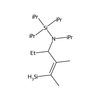 CCC(C(C)=C(C)[SiH3])N(C(C)C)[Si](C(C)C)(C(C)C)C(C)C